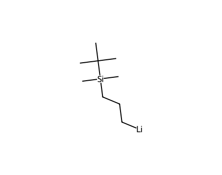 [Li][CH2]CC[Si](C)(C)C(C)(C)C